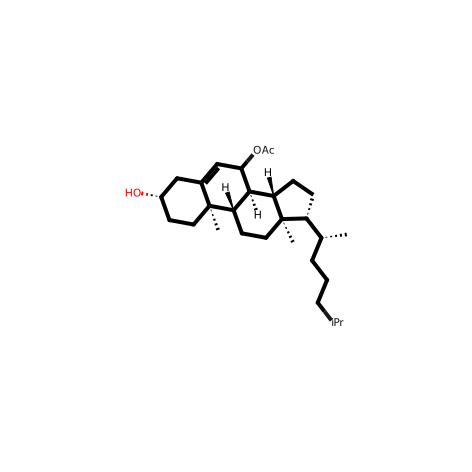 CC(=O)OC1C=C2C[C@@H](O)CC[C@]2(C)[C@H]2CC[C@]3(C)[C@@H]([C@H](C)CCCC(C)C)CC[C@H]3[C@H]12